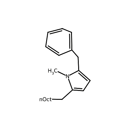 CCCCCCCCCc1ccc(Cc2ccccc2)n1C